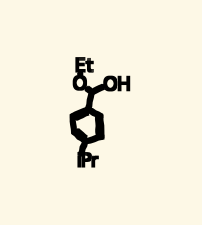 CCOC(O)c1ccc(C(C)C)cc1